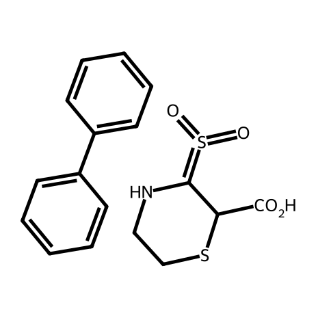 O=C(O)C1SCCNC1=S(=O)=O.c1ccc(-c2ccccc2)cc1